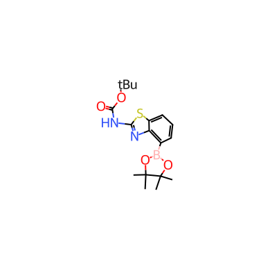 CC(C)(C)OC(=O)Nc1nc2c(B3OC(C)(C)C(C)(C)O3)cccc2s1